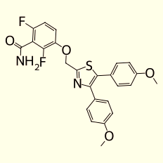 COc1ccc(-c2nc(COc3ccc(F)c(C(N)=O)c3F)sc2-c2ccc(OC)cc2)cc1